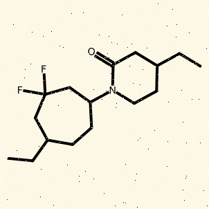 CCC1CCN(C2CCC(CC)CC(F)(F)C2)C(=O)C1